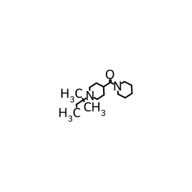 CCC(C)(C)N1CCC(C(=O)N2CCCCC2)CC1